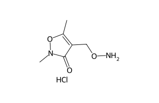 Cc1on(C)c(=O)c1CON.Cl